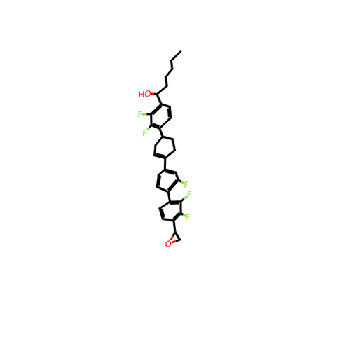 CCCCCC(O)c1ccc(C2CC=C(c3ccc(-c4ccc(C5CO5)c(F)c4F)c(F)c3)CC2)c(F)c1F